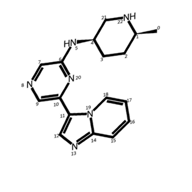 C[C@H]1CC[C@@H](Nc2cncc(-c3cnc4ccccn34)n2)CN1